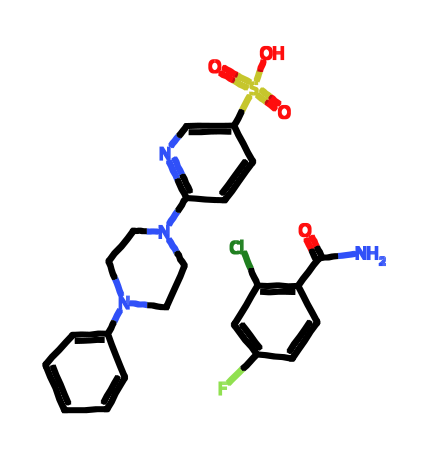 NC(=O)c1ccc(F)cc1Cl.O=S(=O)(O)c1ccc(N2CCN(c3ccccc3)CC2)nc1